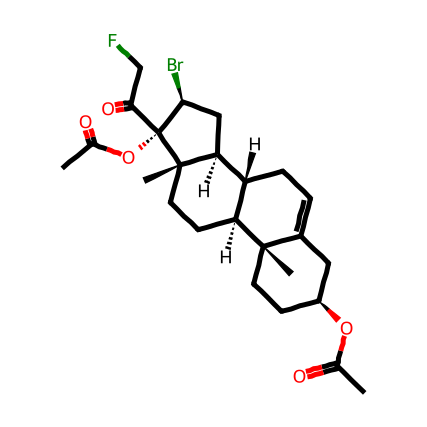 CC(=O)O[C@H]1CC[C@@]2(C)C(=CC[C@@H]3[C@@H]2CC[C@@]2(C)[C@H]3C[C@H](Br)[C@]2(OC(C)=O)C(=O)CF)C1